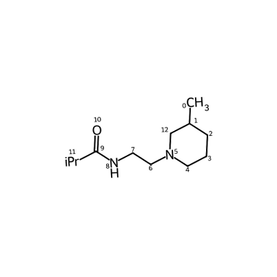 CC1CCCN(CCNC(=O)C(C)C)C1